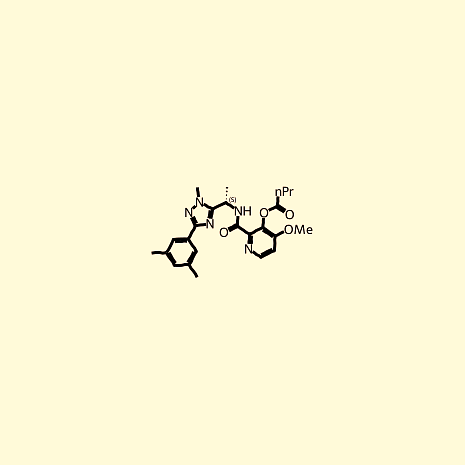 CCCC(=O)Oc1c(OC)ccnc1C(=O)N[C@@H](C)c1nc(-c2cc(C)cc(C)c2)nn1C